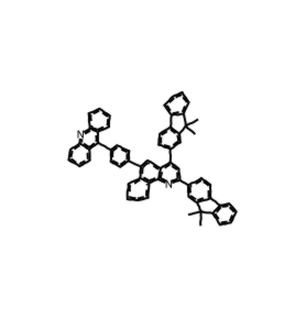 CC1(C)c2ccccc2-c2ccc(-c3cc(-c4ccc5c(c4)C(C)(C)c4ccccc4-5)c4cc(-c5ccc(-c6c7ccccc7nc7ccccc67)cc5)c5ccccc5c4n3)cc21